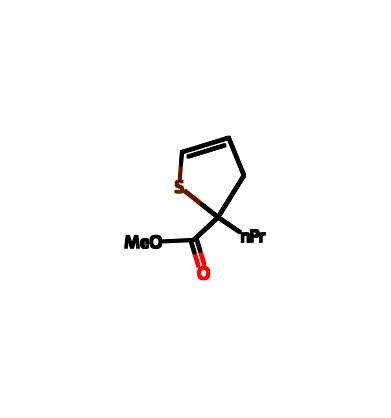 CCCC1(C(=O)OC)CC=CS1